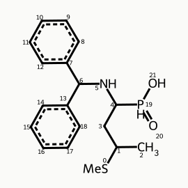 CSC(C)CC(NC(c1ccccc1)c1ccccc1)[PH](=O)O